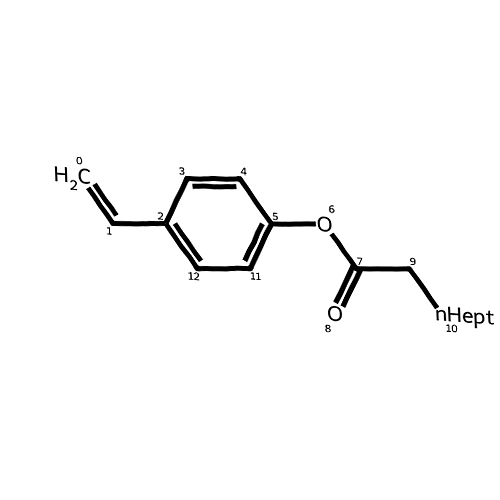 C=Cc1ccc(OC(=O)CCCCCCCC)cc1